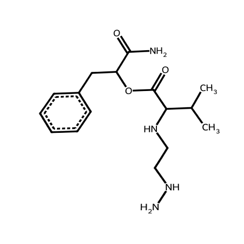 CC(C)C(NCCNN)C(=O)OC(Cc1ccccc1)C(N)=O